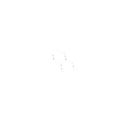 CCCCC([O])c1c([N+](=O)[O-])cc([N+](=O)[O-])cc1[N+](=O)[O-]